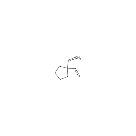 C=CC1(C=O)CCCC1